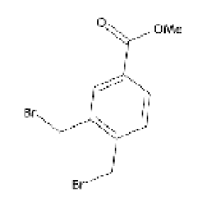 COC(=O)c1ccc(CBr)c(CBr)c1